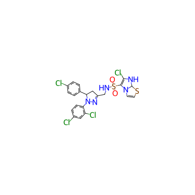 O=S(=O)(NCC1=NN(c2ccc(Cl)cc2Cl)C(c2ccc(Cl)cc2)C1)C1=C(Cl)NC2SC=CN12